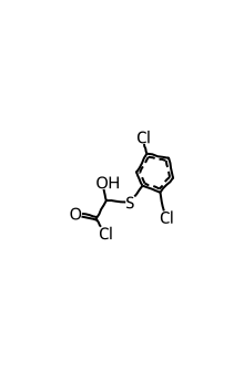 O=C(Cl)C(O)Sc1cc(Cl)ccc1Cl